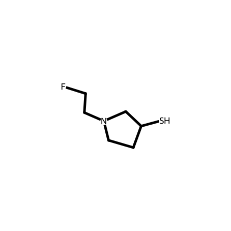 FCCN1CCC(S)C1